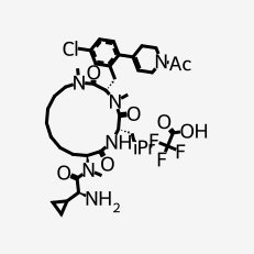 CC(=O)N1CC=C(c2ccc(Cl)cc2C[C@H]2C(=O)N(C)CCCCCCC[C@H](N(C)C(=O)[C@@H](N)C3CC3)C(=O)N[C@@H](CC(C)C)C(=O)N2C)CC1.O=C(O)C(F)(F)F